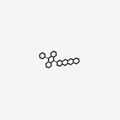 c1ccc(-c2c3ccccc3c(-c3ccc4cc5cc6ccccc6cc5cc4c3)c3ccccc23)cc1